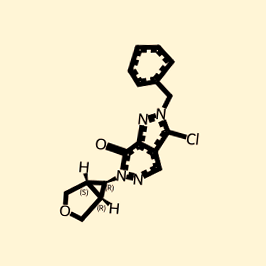 O=c1c2nn(Cc3ccccc3)c(Cl)c2cnn1[C@H]1[C@@H]2COC[C@@H]21